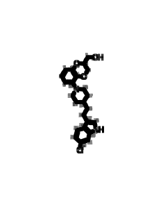 OCC1COc2c(cccc2N2CCC(CCc3c[nH]c4cc(Cl)ccc34)CC2)O1